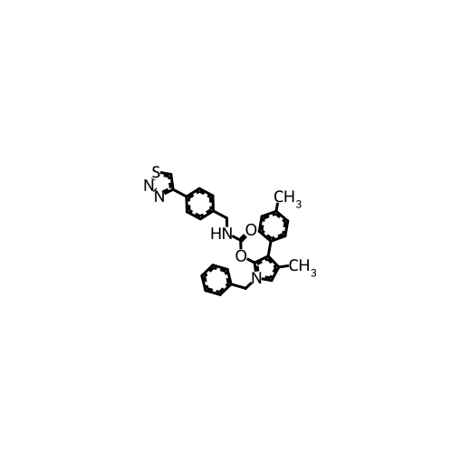 Cc1ccc(-c2c(C)cn(Cc3ccccc3)c2OC(=O)NCc2ccc(-c3csnn3)cc2)cc1